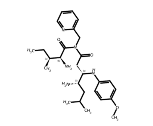 CC[C@H](C)[C@H](N)C(=O)N(Cc1ccccn1)C(=O)C[C@H](Nc1ccc(OC)cc1)[C@@H](N)CC(C)C